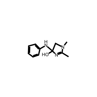 CC1=NC(O)(Nc2ccccc2)CN1C